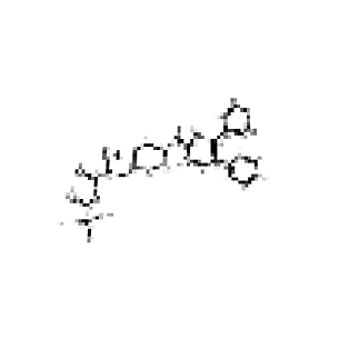 N[C@@H](CC1CCC(Nc2ncc(-c3ccccc3)c(-c3ccccc3)n2)CC1)C(=O)OC(=O)C(F)(F)F